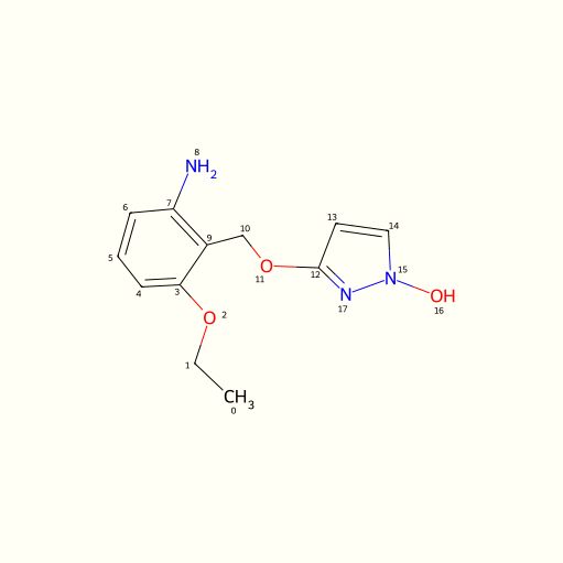 CCOc1cccc(N)c1COc1ccn(O)n1